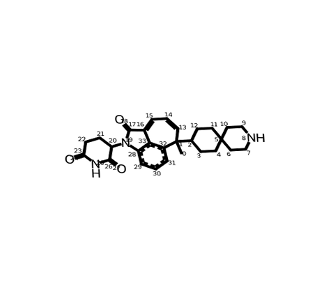 CC1(C2CCC3(CCNCC3)CC2)C=CC=C2C(=O)N(C3CCC(=O)NC3=O)c3cccc1c32